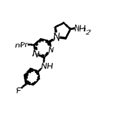 CCCc1cc(N2CCC(N)C2)nc(Nc2ccc(F)cc2)n1